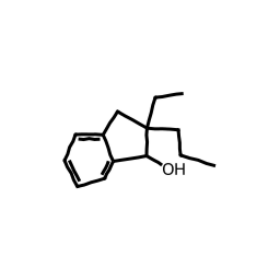 CCCC1(CC)Cc2ccccc2C1O